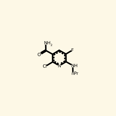 CCCNc1nc(Cl)c(C(N)=O)cc1F